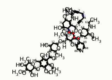 CC#C/C=C\C#C[C@H](O[C@@H]1O[C@H](C)[C@@H](NO[C@H]2C[C@H](O)[C@H](SC(=O)c3c(C)c(I)c(O[C@@H]4O[C@@H](C)[C@H](O)[C@@H](OC)[C@H]4O)c(OC)c3OC)[C@@H](C)O2)[C@@H](O)[C@H]1O[C@H]1C[C@H](OC)[C@@H](NCC)CO1)C1=C(NC(=O)OC)C(=O)C[C@](C)(O)/C1=C/CSSc1ccncc1